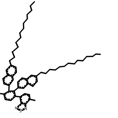 CCCCCCCCCCCCCCc1ccc2cc(-c3c(C)ccc(-c4ccc(C)c5nsnc45)c3-c3ccc4cc(CCCCCCCCCCCCCC)ccc4c3)ccc2c1